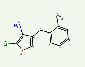 Cc1ccccc1Cc1csc(Cl)c1N